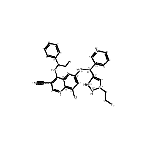 CCC(Nc1c(C#N)cnc2c(Cl)cc(N[C@H](C3=CN(CCF)NN3)c3cccnc3)cc12)c1ccccc1